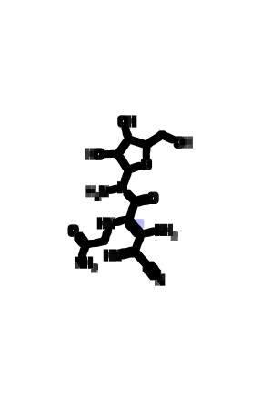 N#CC(=N)/C(N)=C(\NCC(N)=O)C(=O)N(N)C1OC(CO)C(O)C1O